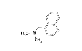 [CH3][Bi]([CH3])[CH2]c1cccc2ccccc12